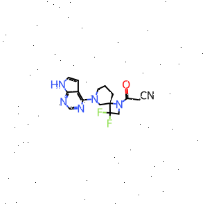 N#CCC(=O)N1CC(F)(F)[C@@]12CCCN(c1ncnc3[nH]ccc13)C2